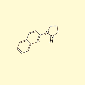 [c]1c(N2CCCN2)ccc2ccccc12